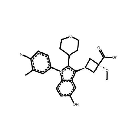 CO[C@]1(C(=O)O)C[C@@H](c2c(C3CCOCC3)n(-c3ccc(F)c(C)c3)c3ccc(O)cc32)C1